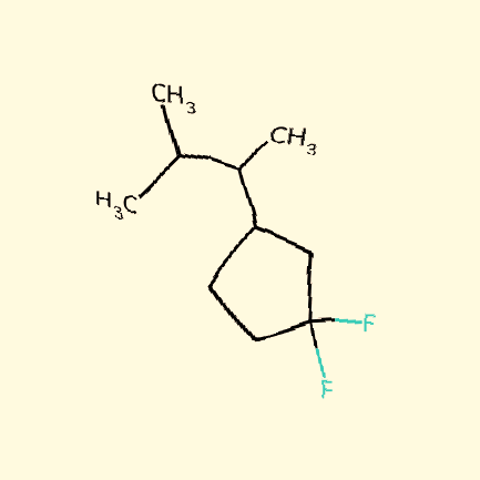 CC(C)C(C)C1CCC(F)(F)C1